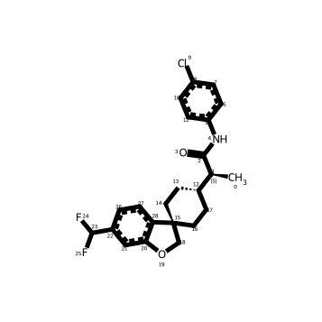 C[C@H](C(=O)Nc1ccc(Cl)cc1)[C@H]1CC[C@@]2(CC1)COc1cc(C(F)F)ccc12